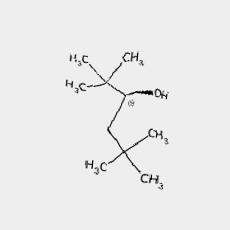 CC(C)(C)C[C@H](O)C(C)(C)C